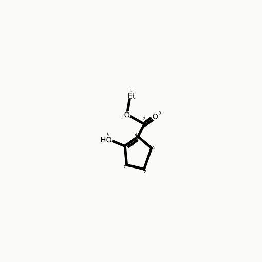 CCOC(=O)C1=C(O)CCC1